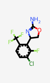 NC1=NC(c2c(C(F)(F)F)ccc(Cl)c2F)CO1